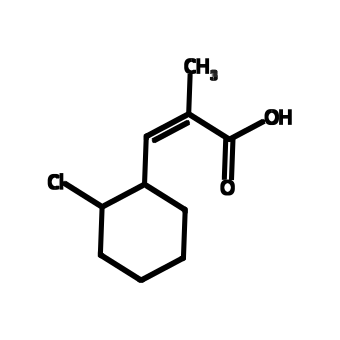 CC(=CC1CCCCC1Cl)C(=O)O